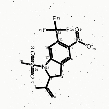 C=C(C)C1Cc2cc([N+](=O)[O-])c(C(F)(F)F)cc2N1S(C)(=O)=O